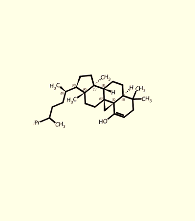 CC(C)C(C)CC[C@@H](C)[C@H]1CC[C@@]2(C)[C@@H]3CC[C@H]4C(C)(C)CC=C(O)[C@@]45C[C@@]35CC[C@]12C